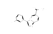 COC(=O)c1ccc2ncc(-c3cccc(C=O)c3)n2c1